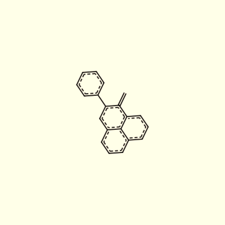 C=c1c(-c2ccccc2)cc2cccc3cccc1c32